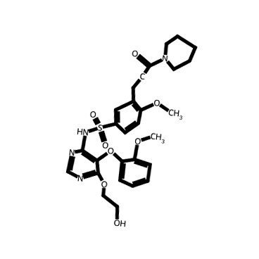 COc1ccc(S(=O)(=O)Nc2ncnc(OCCO)c2Oc2ccccc2OC)cc1CCC(=O)N1CCCCC1